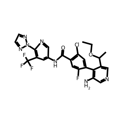 CCOC(C)c1cncc(N)c1-c1cc(Cl)c(C(=O)Nc2cnc(-n3nccn3)c(C(F)(F)F)c2)cc1F